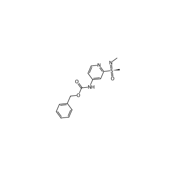 CN=[S@](C)(=O)c1cc(NC(=O)OCc2ccccc2)ccn1